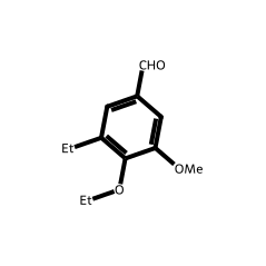 CCOc1c(CC)cc(C=O)cc1OC